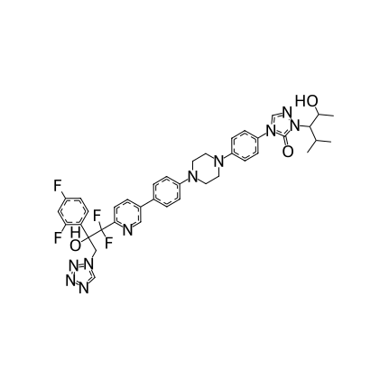 CC(C)C(C(C)O)n1ncn(-c2ccc(N3CCN(c4ccc(-c5ccc(C(F)(F)C(O)(Cn6cnnn6)c6ccc(F)cc6F)nc5)cc4)CC3)cc2)c1=O